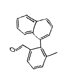 Cc1cccc(C=O)c1-c1cccc2ccccc12